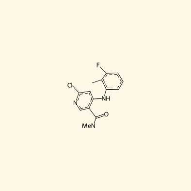 CNC(=O)c1cnc(Cl)cc1Nc1cccc(F)c1C